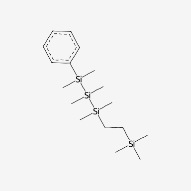 C[Si](C)(C)CC[Si](C)(C)[Si](C)(C)[Si](C)(C)c1ccccc1